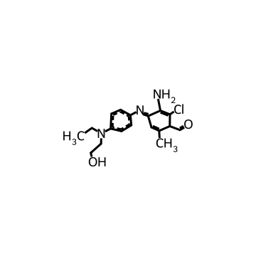 CCN(CCO)c1ccc(N=C2C=C(C)C(C=O)C(Cl)=C2N)cc1